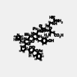 CC[C@H](C)[C@H](NC(=O)[C@H](Cc1ccc(O)cc1)NC(=O)[C@@H](NC(=O)[C@H](CCCNC(=N)N)NC(=O)[C@@H](N)CC(=O)O)C(C)C)C(=O)N[C@@H](Cc1cnc[nH]1)C(=O)N1CCC[C@H]1C(=O)N[C@@H](Cc1ccccc1)C(=O)OC(C)=O